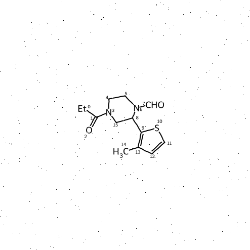 CCC(=O)N1CCN(C=O)C(c2sccc2C)C1